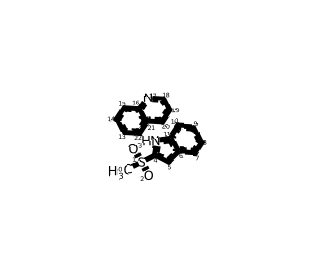 CS(=O)(=O)c1cc2ccccc2[nH]1.c1ccc2ncccc2c1